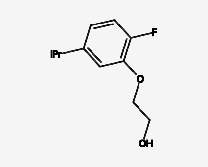 CC(C)c1ccc(F)c(OCCO)c1